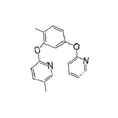 Cc1ccc(Oc2cc(Oc3ccccn3)ccc2C)nc1